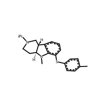 Cc1ccc(Sc2cccc3c2N(C)[C@H]2CCN(C(C)C)C[C@H]32)cc1